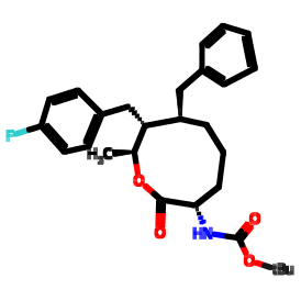 C[C@@H]1OC(=O)[C@@H](NC(=O)OC(C)(C)C)CCC[C@H](Cc2ccccc2)[C@H]1Cc1ccc(F)cc1